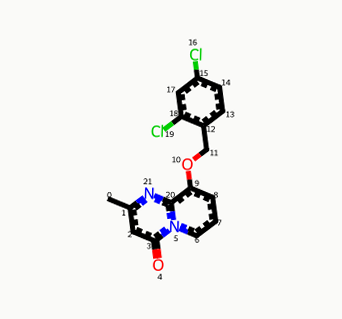 Cc1cc(=O)n2cccc(OCc3ccc(Cl)cc3Cl)c2n1